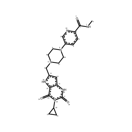 CNC(=O)c1ccc(N2CCN(Cc3cc4[nH]c(=O)n(C5CC5)c(=O)c4[nH]3)CC2)cn1